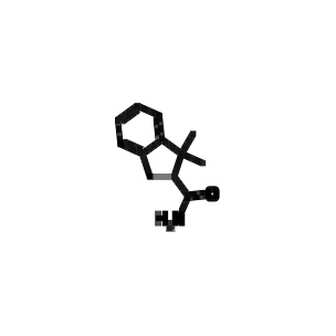 CC1(C)c2ccccc2CC1C(N)=O